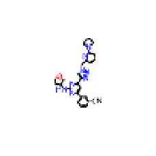 N#Cc1cccc(-c2cc(-c3cn(Cc4cccc(N5CCCC5)n4)nn3)nc(N[C@@H]3CCOC3)n2)c1